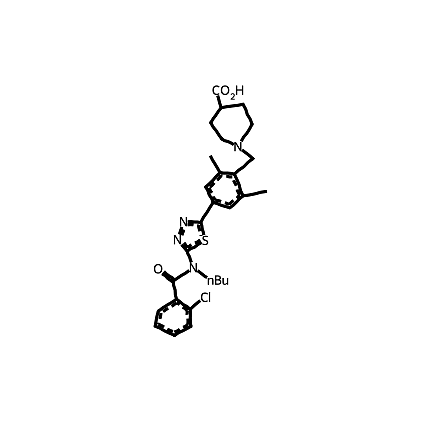 CCCCN(C(=O)c1ccccc1Cl)c1nnc(-c2cc(C)c(CN3CCC(C(=O)O)CC3)c(C)c2)s1